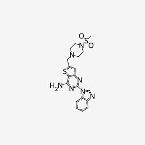 CS(=O)(=O)N1CCN(Cc2cc3nc(-n4cnc5ccccc54)nc(N)c3s2)CC1